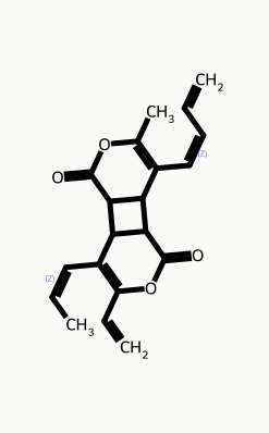 C=C/C=C\C1=C(C)OC(=O)C2C1C1C(=O)OC(C=C)=C(/C=C\C)C21